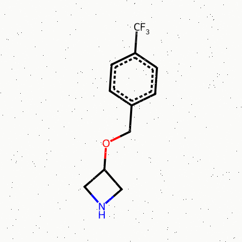 FC(F)(F)c1ccc(COC2CNC2)cc1